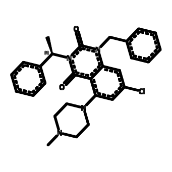 C[C@H](c1ccccc1)n1c(=O)c2c(N3CCN(C)CC3)cc(Cl)cc2n(Cc2ccccc2)c1=O